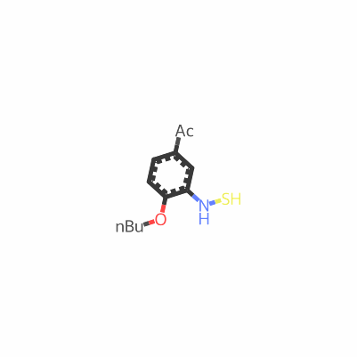 CCCCOc1ccc(C(C)=O)cc1NS